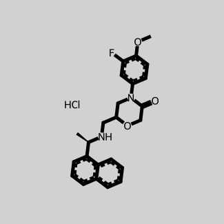 COc1ccc(N2CC(CN[C@H](C)c3cccc4ccccc34)OCC2=O)cc1F.Cl